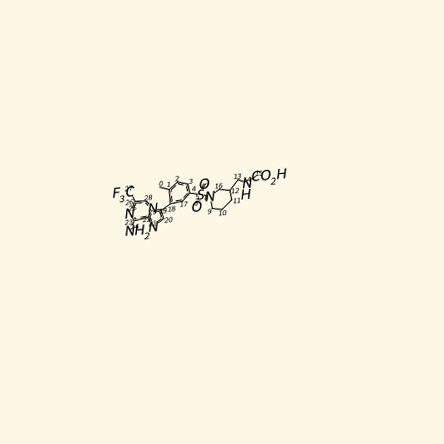 Cc1ccc(S(=O)(=O)N2CCCC(CNC(=O)O)C2)cc1-c1cnc2c(N)nc(C(F)(F)F)cn12